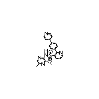 COc1nc(C)cnc1NS(=O)(=O)c1cccnc1-c1ccc(-c2ccncc2)cc1